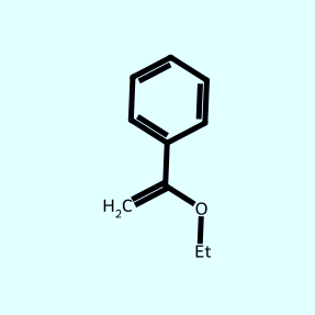 C=C(OCC)c1ccccc1